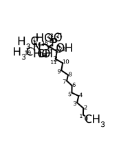 CCCCCCCCCCCCCC(O)(C[N+](C)(C)C)P(=O)(O)O